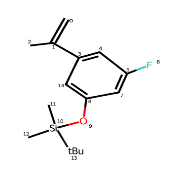 C=C(C)c1cc(F)cc(O[Si](C)(C)C(C)(C)C)c1